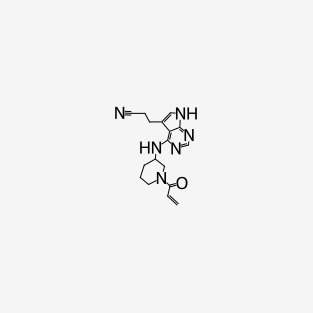 C=CC(=O)N1CCCC(Nc2ncnc3[nH]cc(CCC#N)c23)C1